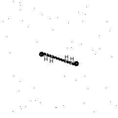 c1ccc(CNCCCNCCCCCCCCCCNCCCNCc2ccccc2)cc1